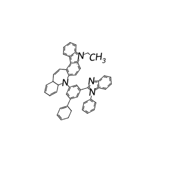 CCn1c2ccccc2c2c3c(ccc21)N(c1cc(C2=CC=CCC2)cc(-c2nc4ccccc4n2-c2ccccc2)c1)C1C=CC=CC1C=C3